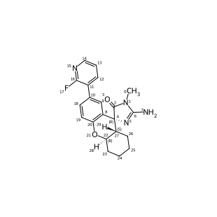 CN1C(=O)[C@]2(N=C1N)c1cc(-c3cccnc3F)ccc1O[C@@H]1CCCC[C@H]12